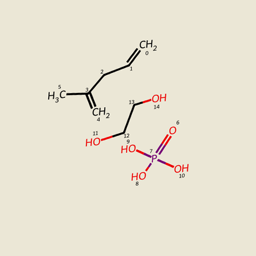 C=CCC(=C)C.O=P(O)(O)O.OCCO